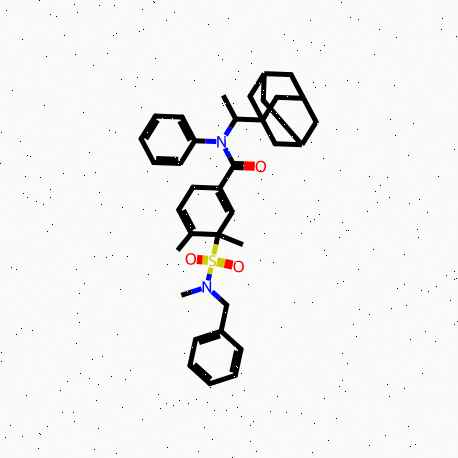 CC1=CCC(C(=O)N(c2ccccc2)C(C)C23CC4CC(CC(C4)C2)C3)=CC1(C)S(=O)(=O)N(C)Cc1ccccc1